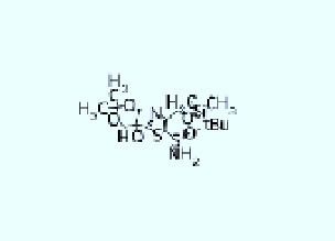 CC1(C)OCC(O)(c2nc(CO[Si](C)(C)C(C)(C)C)c([S+](N)[O-])s2)CO1